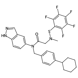 CN(CC(=O)N(Cc1ccc(C2CCCCC2)cc1)c1ccc2[nH]ncc2c1)Sc1c(F)c(F)c(F)c(F)c1F